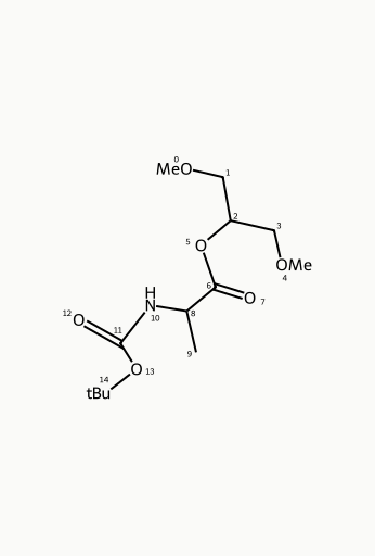 COCC(COC)OC(=O)C(C)NC(=O)OC(C)(C)C